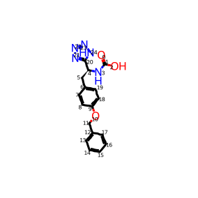 O=C(O)N[C@@H](Cc1ccc(OCc2ccccc2)cc1)c1nnn[nH]1